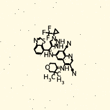 CC1(C)COCC[C@@H]1Nc1c(C#N)cnc2c(C#N)cc(N[C@H](C3=CN(C4(C(F)(F)F)CC4)NN3)c3cccc4ncsc34)cc12